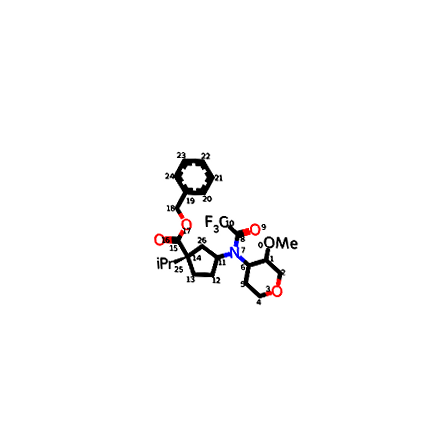 COC1COCCC1N(C(=O)C(F)(F)F)C1CC[C@@](C(=O)OCc2ccccc2)(C(C)C)C1